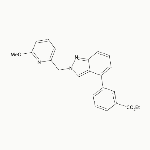 CCOC(=O)c1cccc(-c2cccc3nn(Cc4cccc(OC)n4)cc23)c1